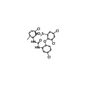 Cc1ccc(Cl)cc1NC(=O)Nc1cc(Cl)ccc1Oc1c(Cl)cc(Cl)cc1S(=O)(=O)O